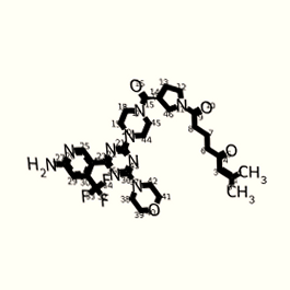 CC(C)=CC(=O)CCCC(=O)N1CC[C@H](C(=O)N2CCN(c3nc(-c4cnc(N)cc4C(F)(F)F)nc(N4CCOCC4)n3)CC2)C1